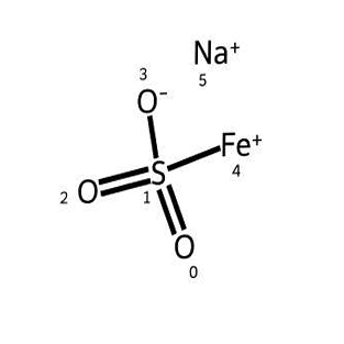 O=[S](=O)([O-])[Fe+].[Na+]